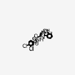 Cn1cc(C(=O)NS(=O)(=O)c2ccc(Cl)c(Cl)c2)nc1-c1ccccc1Cl